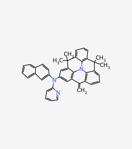 C=C1c2cccc3c2N2c4c1cc(N(c1ccc5ccccc5c1)c1ccccn1)cc4C(C)(C)c1cccc(c12)C3(C)C